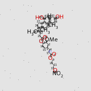 COc1cc(/C=C/C(=O)OCCCCO[N+](=O)[O-])ccc1OC(=O)CC[C@@H](C)[C@H]1CCC2C3C(CC[C@@]21C)[C@@]1(C)CC[C@@H](O)C[C@H]1C[C@@H]3O